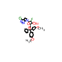 COc1ccc(C(OC[C@H]2O[C@@H](n3ccc4c(Cl)ncnc43)[C@@H](F)[C@@H]2O)(c2ccccc2)c2ccc(OC)cc2)cc1